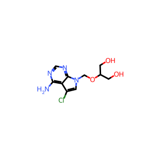 Nc1ncnc2c1c(Cl)cn2COC(CO)CO